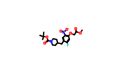 COC(=O)COc1cc(F)c(CC2CCN(C(=O)OC(C)(C)C)CC2)cc1[N+](=O)[O-]